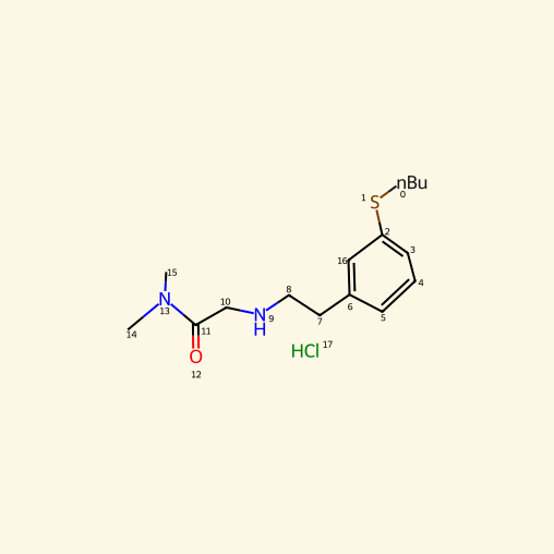 CCCCSc1cccc(CCNCC(=O)N(C)C)c1.Cl